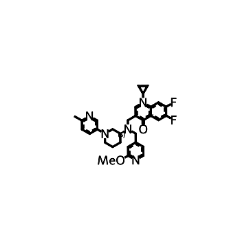 COc1cc(CN(Cc2cn(C3CC3)c3cc(F)c(F)cc3c2=O)[C@H]2CCCN(c3ccc(C)nc3)C2)ccn1